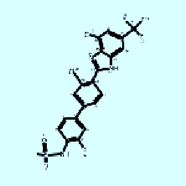 CS(=O)(=O)Nc1ccc(-c2ccc(-c3nc4c(Cl)cc(C(F)(F)F)cc4[nH]3)c(Cl)c2)cc1F